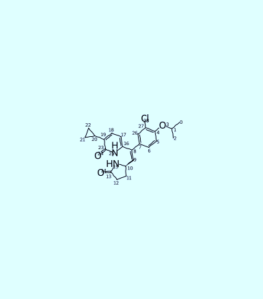 CC(C)Oc1ccc(/C(=C/[C@H]2CCC(=O)N2)c2ccc(C3CC3)c(=O)[nH]2)cc1Cl